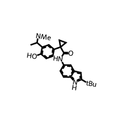 CNC(C)c1cc(C2(C(=O)Nc3ccc4[nH]c(C(C)(C)C)cc4c3)CC2)ccc1O